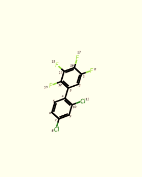 Fc1cc(-c2ccc(Cl)cc2Cl)c(F)c(F)c1F